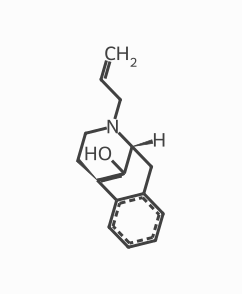 C=CCN1CC[C@]23CCCCC2(O)[C@H]1Cc1ccccc13